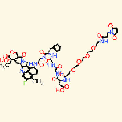 CC[C@@]1(O)C(=O)OCc2c1cc1n(c2=O)Cc2c-1nc1cc(F)c(C)c3c1c2[C@@H](NC(=O)CNC(=O)[C@H](Cc1ccccc1)NC(=O)CNC(=O)CNC(=O)[C@H](CC(=O)O)NC(=O)CCOCCOCCOCCOCCNC(=O)CCN1C(=O)C=CC1=O)CC3